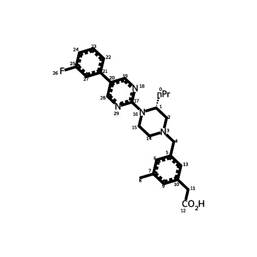 CCC[C@@H]1CN(Cc2cc(C)cc(CC(=O)O)c2)CCN1c1ncc(-c2cccc(F)c2)cn1